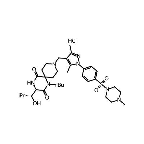 CCCCN1C(=O)[C@@H]([C@H](O)C(C)C)NC(=O)C12CCN(Cc1c(C)nn(-c3ccc(S(=O)(=O)N4CCN(C)CC4)cc3)c1C)CC2.Cl